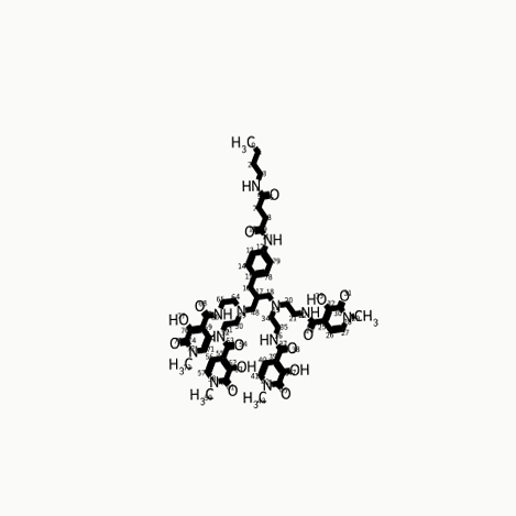 CCCCNC(=O)CCC(=O)Nc1ccc(CC(CN(CCNC(=O)c2ccn(C)c(=O)c2O)CCNC(=O)c2ccn(C)c(=O)c2O)CN(CCNC(=O)c2ccn(C)c(=O)c2O)CCNC(=O)c2ccn(C)c(=O)c2O)cc1